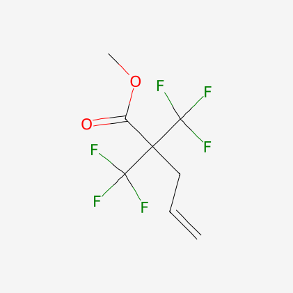 C=CCC(C(=O)OC)(C(F)(F)F)C(F)(F)F